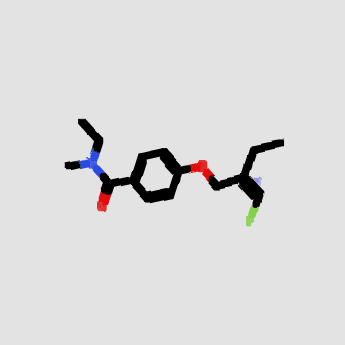 CC/C(=C/F)COc1ccc(C(=O)N(C)CC)cc1